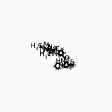 CNc1ncnc(N(C)C(=O)Nc2cc(C(=O)Nc3cc(C(F)(F)F)ccc3N3CCCCC3)ccc2C)n1